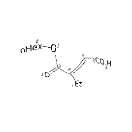 CCCCCCOC(=O)C(=CC(=O)O)CC